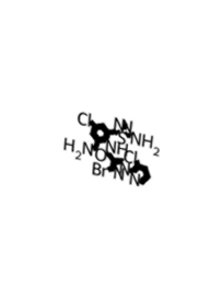 NCc1cc(Cl)cc(-c2nnc(N)s2)c1NC(=O)c1cn(-c2ncccc2Cl)nc1Br